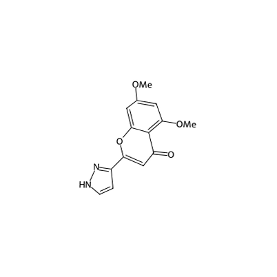 COc1cc(OC)c2c(=O)cc(-c3cc[nH]n3)oc2c1